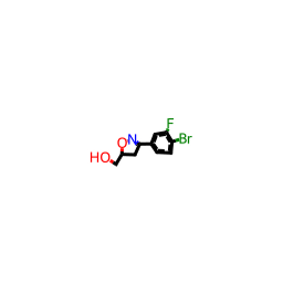 OCC1CC(c2ccc(Br)c(F)c2)=NO1